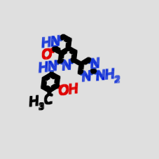 Cc1ccc(Nc2nc(-c3cnc(N)nc3)cc3cc[nH]c(=O)c23)cc1O